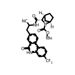 CC(C)(C)OC(=O)N1[C@@H]2CC[C@@H](C2)[C@H]1C(=O)NC(C#N)Cc1ccc2c(c1)c(=O)[nH]c1cc(C(F)(F)F)ccc12